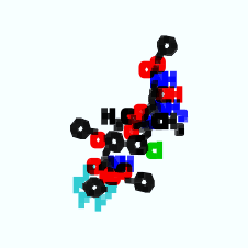 COC(=O)[C@H](Cc1cc(-c2ccc(OCc3ccccc3)c(C[C@H](NC(=O)OCc3ccccc3)C(=O)Oc3c(F)c(F)c(F)c(F)c3F)c2)ccc1Cl)N(C)C(=O)[C@@H](N)C[C@@H](O)CNC(=O)OCc1ccccc1